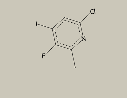 Fc1c(I)cc(Cl)nc1I